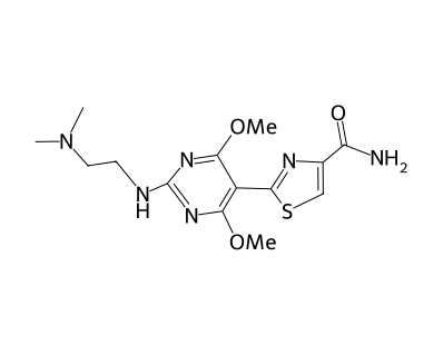 COc1nc(NCCN(C)C)nc(OC)c1-c1nc(C(N)=O)cs1